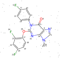 CCn1cnc2c(=O)n(-c3ccc(F)cc3)c(Oc3ccc(F)cc3F)nc21